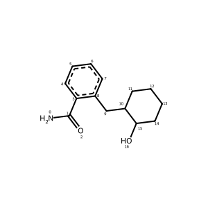 NC(=O)c1ccccc1CC1CCCCC1O